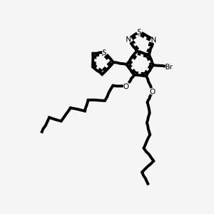 CCCCCCCCOc1c(OCCCCCCCC)c(-c2cccs2)c2nsnc2c1Br